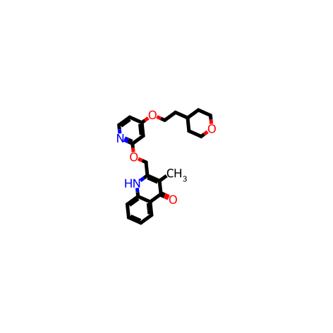 Cc1c(COc2cc(OCCC3CCOCC3)ccn2)[nH]c2ccccc2c1=O